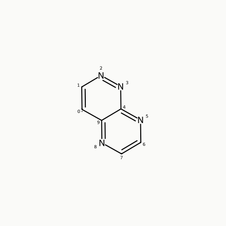 [c]1cnnc2nccnc12